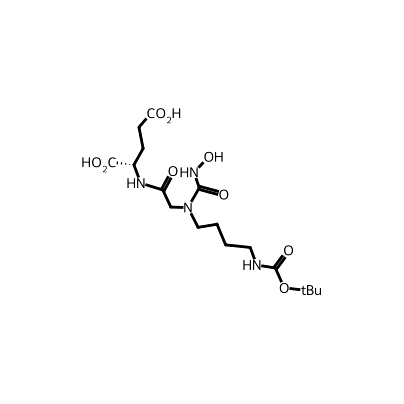 CC(C)(C)OC(=O)NCCCCN(CC(=O)N[C@@H](CCC(=O)O)C(=O)O)C(=O)NO